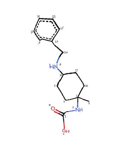 CC1(NC(=O)O)CCC(NCc2ccccc2)CC1